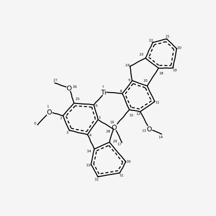 COc1cc2c([c]([Ti][c]3c4c(cc(OC)c3OC)-c3ccccc3C4)c1OC)Cc1ccccc1-2